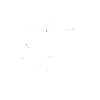 COC(=O)c1c(C)nc(C)c(C(=O)O)c1-c1cccc(OC)c1OC